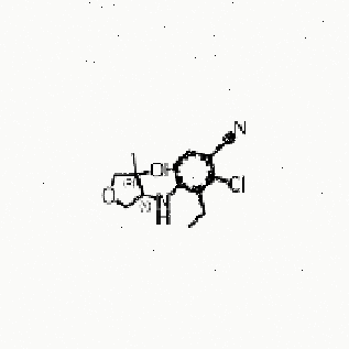 CCc1c(N[C@H]2COC[C@]2(C)O)ccc(C#N)c1Cl